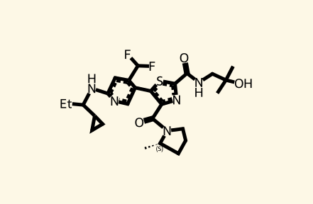 CCC(Nc1cc(C(F)F)c(-c2sc(C(=O)NCC(C)(C)O)nc2C(=O)N2CCC[C@@H]2C)cn1)C1CC1